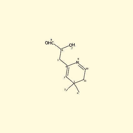 CC1(C)C=C(CC(O)C=O)N=CC1